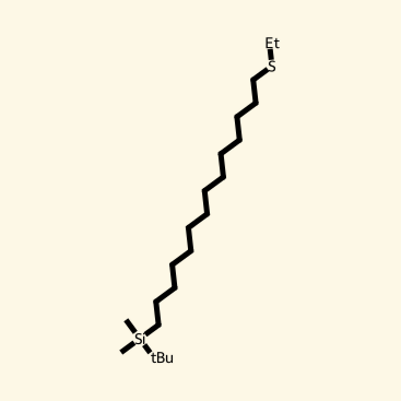 CCSCCCCCCCCCCCCCC[Si](C)(C)C(C)(C)C